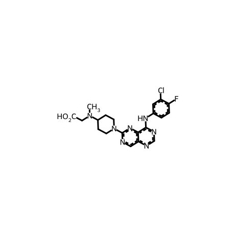 CN(CC(=O)O)C1CCN(c2ncc3ncnc(Nc4ccc(F)c(Cl)c4)c3n2)CC1